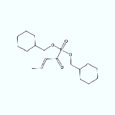 CC=CC(=O)P(=O)(OCC1CCCCC1)OCC1CCCCC1